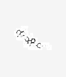 CN1CCC(Oc2ccc(F)c3c2N(C)C(=O)C32CCN(c3nc(O)c4c(n3)N(C)CCC4)CC2)CC1